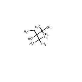 CCC(O)(C(C)(C)C)C(C)(C)C